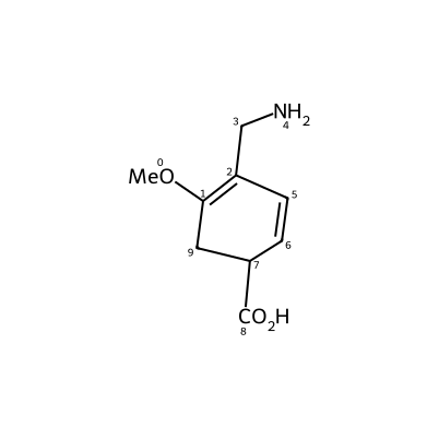 COC1=C(CN)C=CC(C(=O)O)C1